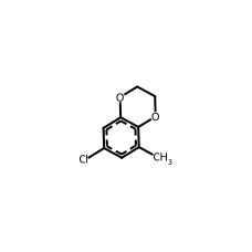 Cc1cc(Cl)cc2c1OCCO2